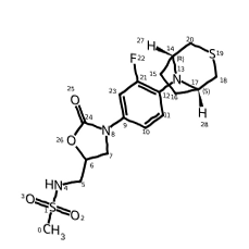 CS(=O)(=O)NCC1CN(c2ccc(N3[C@@H]4CC[C@H]3CSC4)c(F)c2)C(=O)O1